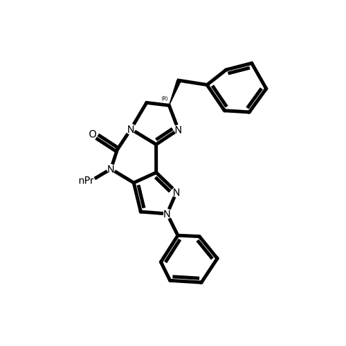 CCCN1C(=O)N2C[C@@H](Cc3ccccc3)N=C2c2nn(-c3ccccc3)cc21